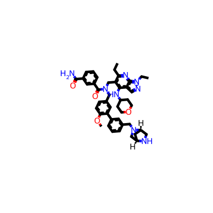 CCc1nc2c(cnn2CC)c(NC2CCOCC2)c1CN(Cc1ccc(OC)c(-c2cccc(CN3C[C@@H]4C[C@H]3CN4)c2)c1)C(=O)c1cccc(C(N)=O)c1